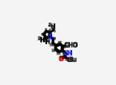 [2H]C[C@@H]1CCC([2H])([2H])N1CCc1ccc(NC(=O)C(C)(C)C)c(C=O)c1